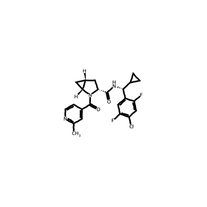 Cc1cc(C(=O)N2[C@@H](C(=O)N[C@@H](c3cc(F)c(Cl)cc3F)C3CC3)C[C@H]3C[C@H]32)ccn1